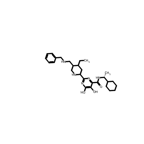 CCC1CC(c2nc(O)c(O)c(C(=O)N[C@H](C)C3CCCCC3)n2)NCC1CNCc1ccccc1